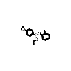 CCOP(Oc1ccccc1C)c1ccc(OC)cc1